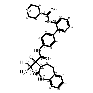 CC(C)(N)C(C)(C(=O)Nc1ccc(-c2ccccc2NC(=O)N2CCNCC2)cc1)[C@H]1CCc2ccccc2NC1=O